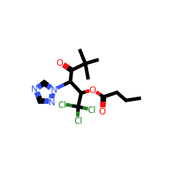 CCCC(=O)OC(C(C(=O)C(C)(C)C)n1cncn1)C(Cl)(Cl)Cl